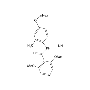 CCCCCCOc1ccc(PC(=O)c2c(OC)cccc2OC)c(C)c1.[LiH]